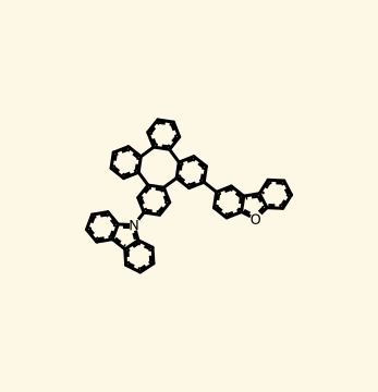 c1ccc2c(c1)-c1ccccc1-c1cc(-n3c4ccccc4c4ccccc43)ccc1-c1cc(-c3ccc4oc5ccccc5c4c3)ccc1-2